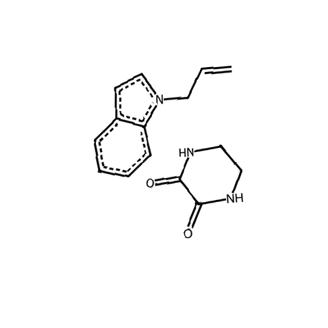 C=CCn1ccc2ccccc21.O=C1NCCNC1=O